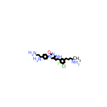 C[C@H](N)CCCc1cc(Cl)c(F)c(-c2cc3cn(-c4ccc([C@H](N)CCN)cc4)c(=O)nc3[nH]2)c1